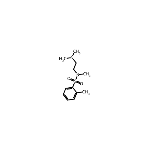 Cc1ccccc1S(=O)(=O)N(C)CCN(C)C